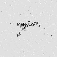 CNc1cc(NCc2ccc(C(F)(F)F)cc2)ccc1NC(=O)CCCCCC(F)CF